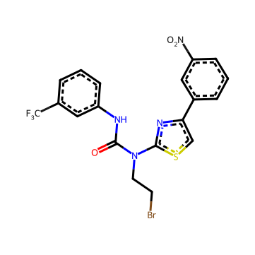 O=C(Nc1cccc(C(F)(F)F)c1)N(CCBr)c1nc(-c2cccc([N+](=O)[O-])c2)cs1